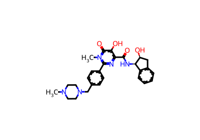 CN1CCN(Cc2ccc(-c3nc(C(=O)N[C@@H]4c5ccccc5C[C@@H]4O)c(O)c(=O)n3C)cc2)CC1